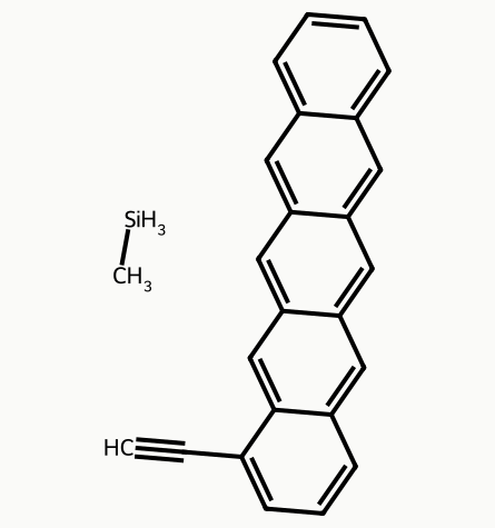 C#Cc1cccc2cc3cc4cc5ccccc5cc4cc3cc12.C[SiH3]